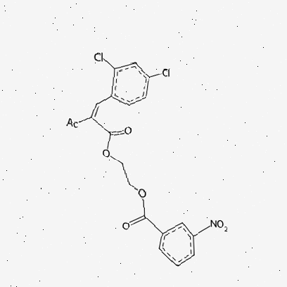 CC(=O)/C(=C/c1ccc(Cl)cc1Cl)C(=O)OCCOC(=O)c1cccc([N+](=O)[O-])c1